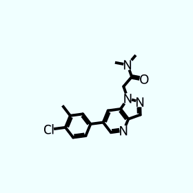 Cc1cc(-c2cnc3cnn(CC(=O)N(C)C)c3c2)ccc1Cl